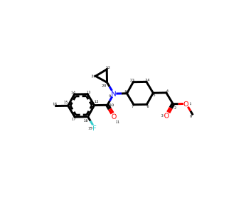 COC(=O)CC1CCC(N(C(=O)c2ccc(C)cc2F)C2CC2)CC1